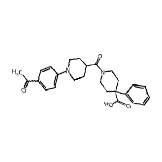 CC(=O)c1ccc(N2CCC(C(=O)N3CCC(C(=O)O)(c4ccccc4)CC3)CC2)cc1